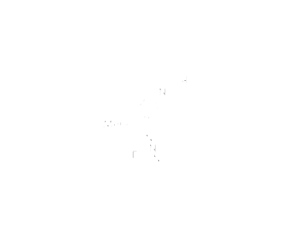 CO[C@H](c1ccc(N2CC[C@@H](F)C2)cc1)[C@@H](CF)N=[N+]=[N-]